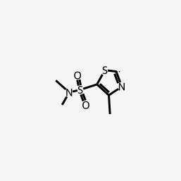 Cc1n[c]sc1S(=O)(=O)N(C)C